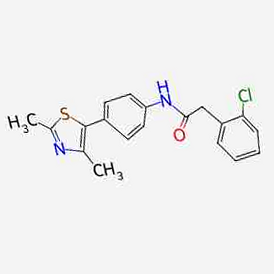 Cc1nc(C)c(-c2ccc(NC(=O)Cc3ccccc3Cl)cc2)s1